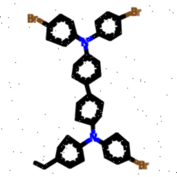 CCc1ccc(N(c2ccc(Br)cc2)c2ccc(-c3ccc(N(c4ccc(Br)cc4)c4ccc(Br)cc4)cc3)cc2)cc1